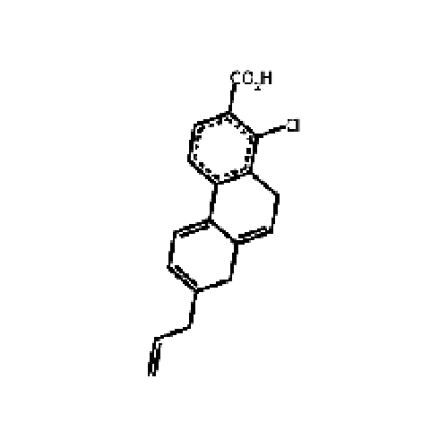 C=CCC1=CC=C2C(=CCc3c2ccc(C(=O)O)c3Cl)C1